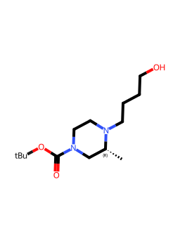 C[C@@H]1CN(C(=O)OC(C)(C)C)CCN1CCCCO